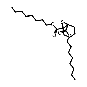 CCCCCCCCOC(=O)C12CCCCC1(C(=O)OCCCCCCCC)S2